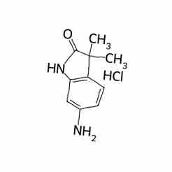 CC1(C)C(=O)Nc2cc(N)ccc21.Cl